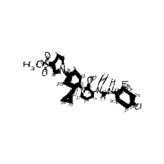 CS(=O)(=O)C1CCN(c2ccc(N3CCC[C@@H](NC(=O)Nc4ccc(Cl)cc4F)C3=O)c(C3CC3)c2)C1